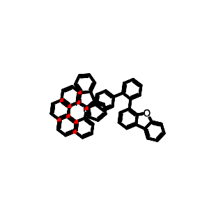 c1ccc(-c2ccccc2N(c2ccc(-c3ccccc3-c3cccc4c3oc3ccccc34)cc2)c2ccccc2-c2ccccc2-n2c3ccccc3c3ccccc32)cc1